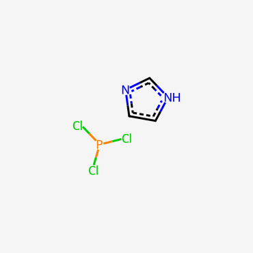 ClP(Cl)Cl.c1c[nH]cn1